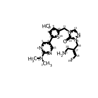 CN(C)c1ncc(-c2ccc(Cn3cnn(C/C(=C/F)CN)c3=O)s2)cn1.Cl